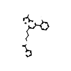 Bc1cnn2c(CCCNC(=O)c3cccs3)cc(-c3ccccc3O)nc12